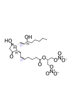 CCCCC[C@H](O)/C=C/[C@H]1[C@H](O)CC(=O)[C@@H]1C/C=C\CCCC(=O)OC(CO[N+](=O)[O-])CO[N+](=O)[O-]